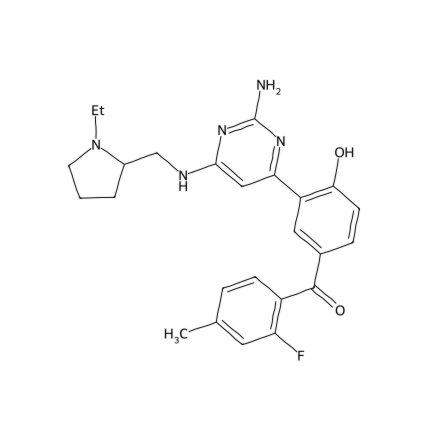 CCN1CCCC1CNc1cc(-c2cc(C(=O)c3ccc(C)cc3F)ccc2O)nc(N)n1